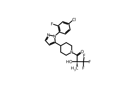 C[C@@](O)(C(=O)N1CCC(c2ccnn2-c2ccc(Cl)cc2F)CC1)C(F)(F)F